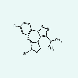 CC(C)c1[nH]nc(-c2ccc(F)cc2)c1N1CCC(Br)C1=O